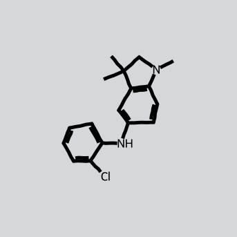 CN1CC(C)(C)c2cc(Nc3ccccc3Cl)ccc21